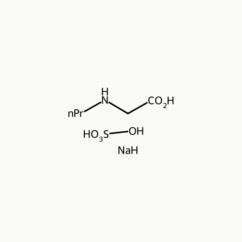 CCCNCC(=O)O.O=S(=O)(O)O.[NaH]